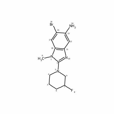 Cn1c(N2CCCC(F)C2)nc2cc(N)c(Br)cc21